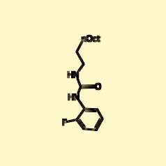 CCCCCCCCCCNC(=O)Nc1ccccc1F